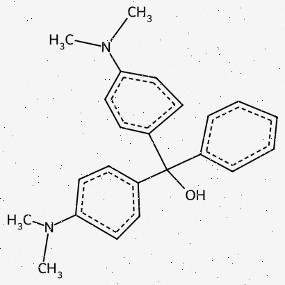 CN(C)c1ccc(C(O)(c2ccccc2)c2ccc(N(C)C)cc2)cc1